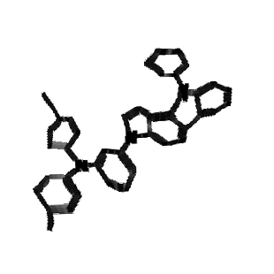 Cc1ccc(N(c2ccc(C)cc2)c2cccc(-n3ccc4c3ccc3c5ccccc5n(-c5ccccc5)c34)c2)cc1